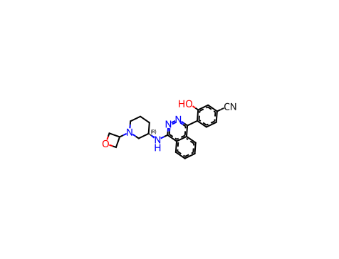 N#Cc1ccc(-c2nnc(N[C@@H]3CCCN(C4COC4)C3)c3ccccc23)c(O)c1